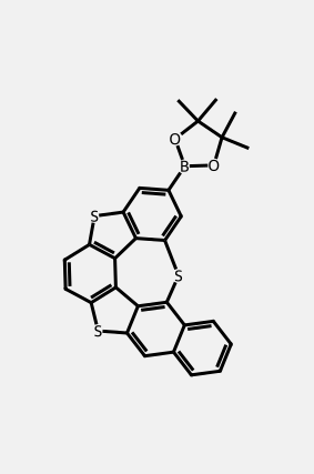 CC1(C)OB(c2cc3sc4ccc5sc6cc7ccccc7c7sc(c2)c3c4c5c67)OC1(C)C